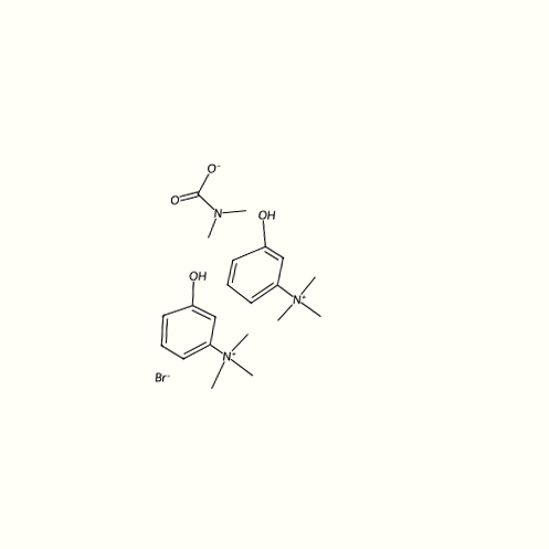 CN(C)C(=O)[O-].C[N+](C)(C)c1cccc(O)c1.C[N+](C)(C)c1cccc(O)c1.[Br-]